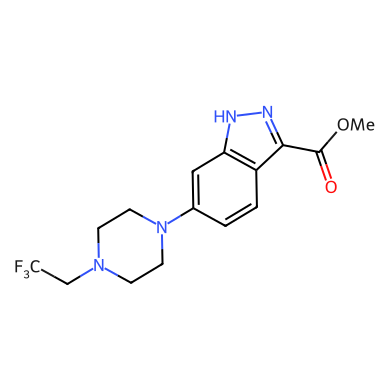 COC(=O)c1n[nH]c2cc(N3CCN(CC(F)(F)F)CC3)ccc12